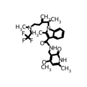 C=C(CCN(C)CC(F)(F)F)[C@@H](C)n1c(C)c(C(=O)NCc2c(OC)cc(C)[nH]c2=O)c2ccccc21